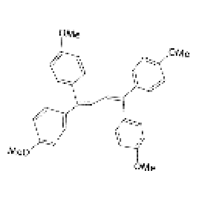 COc1ccc(C(=CC=C(c2ccc(OC)cc2)c2ccc(OC)cc2)c2ccc(OC)cc2)cc1